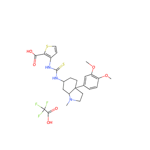 COc1ccc(C23CCC(NC(=S)Nc4ccsc4C(=O)O)CC2N(C)CC3)cc1OC.O=C(O)C(F)(F)F